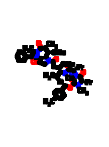 C=C(CC)[C@@H](C(CC(=O)N1CCC[C@H]1[C@H](OC)[C@@H](C)C(=O)N[C@H](C)[C@@H](O)c1ccccc1)OC)N(C)C(=O)[C@@H](NC(=O)[C@H](C(C)C)N(C)C(=O)OCc1ccc(C)cc1)C(C)C